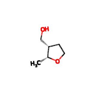 C[C@H]1OCC[C@H]1CO